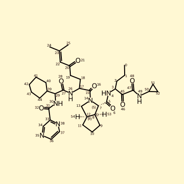 CCCC(NC(=O)[C@@H]1[C@H]2CCC[C@H]2CN1C(=O)C(CCC(=O)C=C(C)C)NC(=O)C(NC(=O)c1cnccn1)C1CCCCC1)C(=O)C(=O)NC1CC1